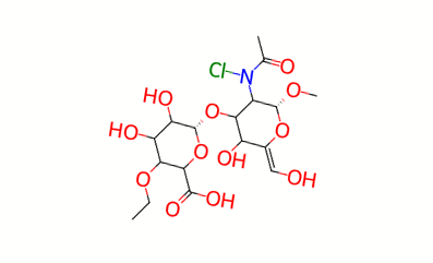 CCOC1C(C(=O)O)O[C@@H](OC2C(O)/C(=C/O)O[C@@H](OC)C2N(Cl)C(C)=O)C(O)C1O